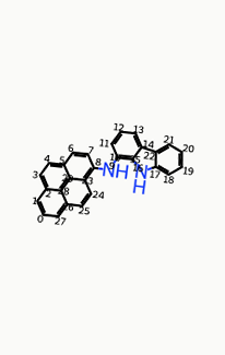 c1cc2ccc3ccc(Nc4cccc5c4[nH]c4ccccc45)c4ccc(c1)c2c34